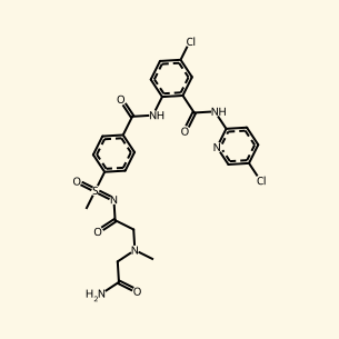 CN(CC(N)=O)CC(=O)N=S(C)(=O)c1ccc(C(=O)Nc2ccc(Cl)cc2C(=O)Nc2ccc(Cl)cn2)cc1